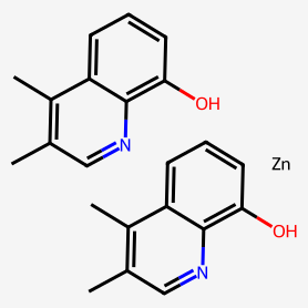 Cc1cnc2c(O)cccc2c1C.Cc1cnc2c(O)cccc2c1C.[Zn]